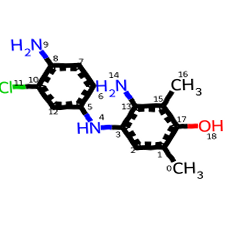 Cc1cc(Nc2ccc(N)c(Cl)c2)c(N)c(C)c1O